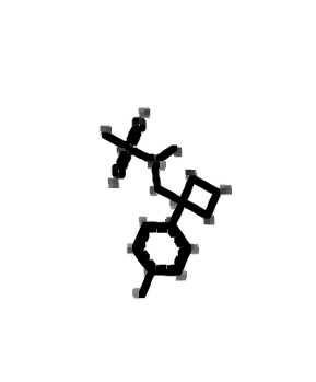 Cc1ccc(C2(CN(C)S(C)(=O)=O)CCC2)cc1